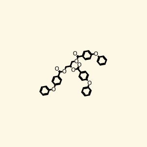 O=C(OCC(COC(=O)c1ccc(Oc2ccccc2)cc1)OC(=O)c1ccc(Oc2ccccc2)cc1)c1ccc(Oc2ccccc2)cc1